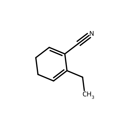 CCC1=CCCC=C1C#N